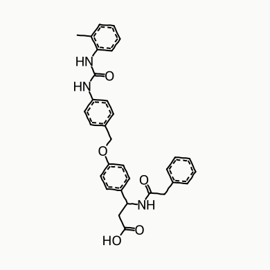 Cc1ccccc1NC(=O)Nc1ccc(COc2ccc(C(CC(=O)O)NC(=O)Cc3ccccc3)cc2)cc1